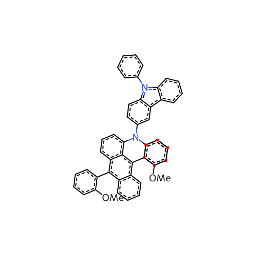 COc1ccccc1-c1c2ccccc2c(-c2ccccc2OC)c2c(N(c3ccccc3)c3ccc4c(c3)c3ccccc3n4-c3ccccc3)cccc12